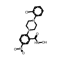 O=C(NO)c1cc([N+](=O)[O-])ccc1N1CCN(c2ccccc2Cl)CC1